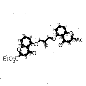 CCOC(=O)c1cc(=O)c2c(OCC(F)COc3cccc4oc(C(C)=O)cc(=O)c34)cccc2o1